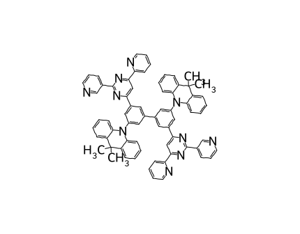 CC1(C)c2ccccc2N(c2cc(-c3cc(-c4cc(-c5ccccn5)nc(-c5cccnc5)n4)cc(N4c5ccccc5C(C)(C)c5ccccc54)c3)cc(-c3cc(-c4ccccn4)nc(-c4cccnc4)n3)c2)c2ccccc21